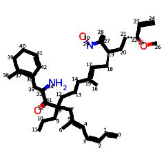 C=C/C=C\C=C(/C)CC(CCC)(CCC/C(C)=C/C[C@H](CC[C@H](C=C)OC)C(=C)N=O)C(=O)C(N)CC1=C(C)CCC=C1